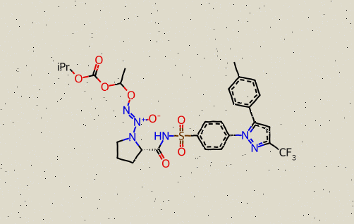 Cc1ccc(-c2cc(C(F)(F)F)nn2-c2ccc(S(=O)(=O)NC(=O)[C@@H]3CCCN3/[N+]([O-])=N/OC(C)OC(=O)OC(C)C)cc2)cc1